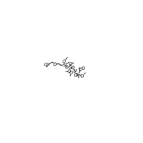 CO[Si](C)(CCOCC1CO1)O[Si](OC)(OC)O[Si](C)(OC)O[Si](C)(OC)C1CO1